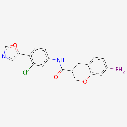 O=C(Nc1ccc(-c2cnco2)c(Cl)c1)C1COc2cc(P)ccc2C1